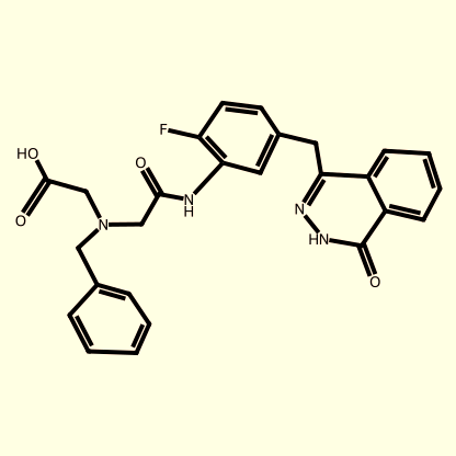 O=C(O)CN(CC(=O)Nc1cc(Cc2n[nH]c(=O)c3ccccc23)ccc1F)Cc1ccccc1